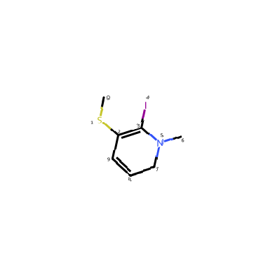 CSC1=C(I)N(C)CC=C1